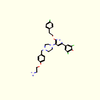 CN(C)CCOc1ccc(CN2CCN(c3cc(-c4cc(Cl)c(O)c(Cl)c4)nnc3OCCc3ccc(Cl)cc3)CC2)cc1